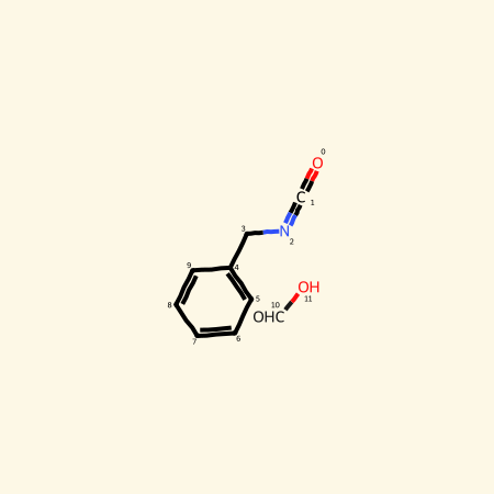 O=C=NCc1ccccc1.O=CO